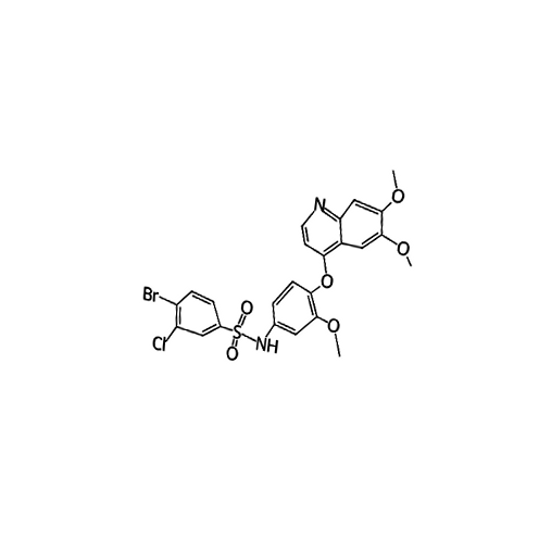 COc1cc2nccc(Oc3ccc(NS(=O)(=O)c4ccc(Br)c(Cl)c4)cc3OC)c2cc1OC